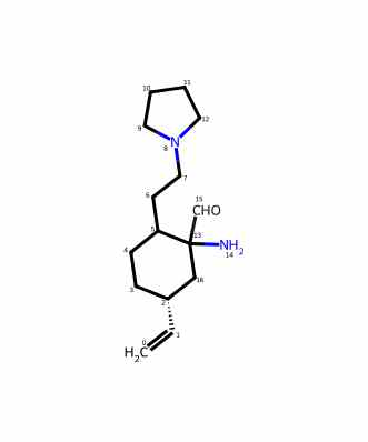 C=C[C@@H]1CCC(CCN2CCCC2)C(N)(C=O)C1